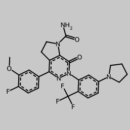 COc1cc(-c2nn(-c3cc(N4CCCC4)ccc3C(F)(F)F)c(=O)c3c2CCN3C(N)=O)ccc1F